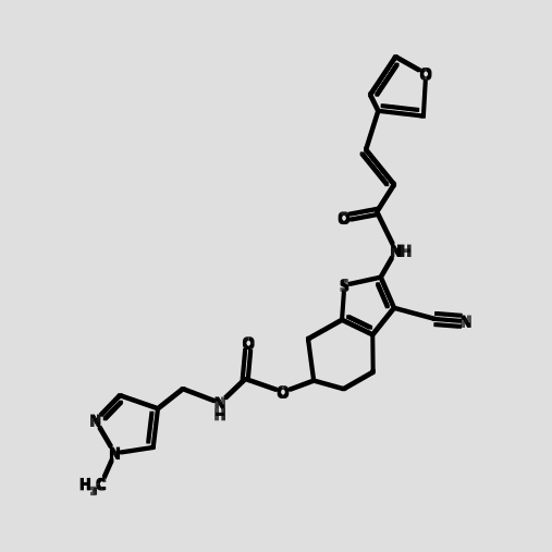 Cn1cc(CNC(=O)OC2CCc3c(sc(NC(=O)C=Cc4ccoc4)c3C#N)C2)cn1